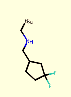 CC(C)(C)CNCC1CCC(F)(F)C1